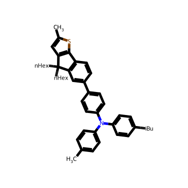 CCCCCCC1(CCCCCC)c2cc(-c3ccc(N(c4ccc(C)cc4)c4ccc(C(C)CC)cc4)cc3)ccc2-c2sc(C)cc21